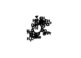 CCn1c(-c2cccnc2[C@H](C)OC)c2c3cc(ccc31)-c1cc(cc(OC(=O)C(C)C)c1)C[C@H](NC(=O)[C@H](C1CCCC1)N(C)C(=O)CN(C)C(=O)[C@@H]1N[C@@H]1C1CC1)C(=O)N1CCC[C@H](N1)C(=O)OCC(C)(C)C2